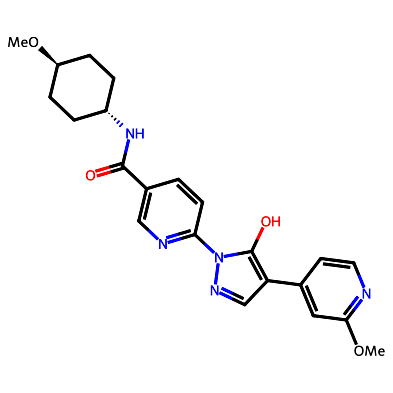 COc1cc(-c2cnn(-c3ccc(C(=O)N[C@H]4CC[C@H](OC)CC4)cn3)c2O)ccn1